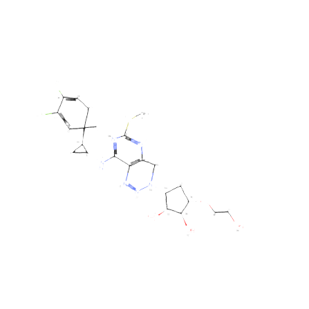 CCCSc1nc2c(c(N[C@@H]3C[C@H]3C3(C)C=C(F)C(F)=CC3)n1)N=NN([C@@H]1C[C@H](OCCO)[C@@H](O)[C@H]1O)C2